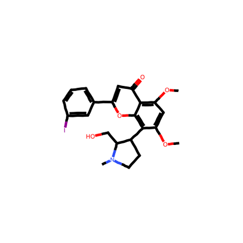 COc1cc(OC)c2c(=O)cc(-c3cccc(I)c3)oc2c1C1CCN(C)C1CO